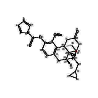 COc1c(OC(=O)n2ccnc2)ccc2c1[C@]13CCN(CC4CC4)[C@H](C2)C1(O)CCC(=O)C3